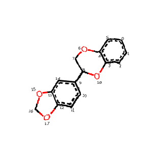 c1ccc2c(c1)OCC(c1ccc3c(c1)OCO3)O2